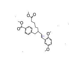 COC(=O)CCCCC(/C=C/c1cc(OC)ccc1OC)Cc1ccc(C(=O)OC)cc1